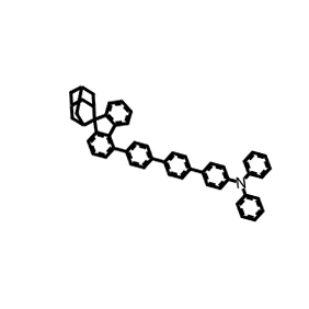 c1ccc(N(c2ccccc2)c2ccc(-c3ccc(-c4ccc(-c5cccc6c5-c5ccccc5C65C6CC7CC(C6)CC5C7)cc4)cc3)cc2)cc1